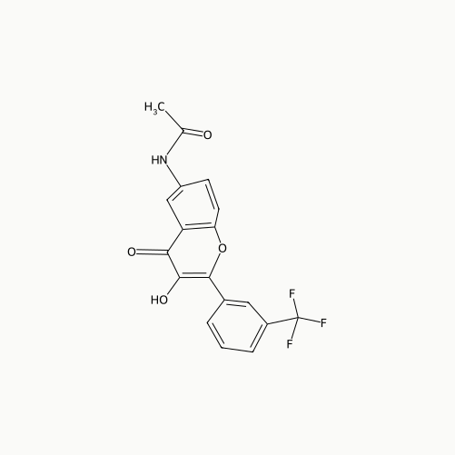 CC(=O)Nc1ccc2oc(-c3cccc(C(F)(F)F)c3)c(O)c(=O)c2c1